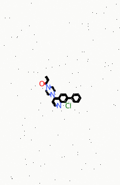 C=CC(=O)N1CCN(c2ccnc3c(Cl)c(-c4ccccc4)ccc23)CC1